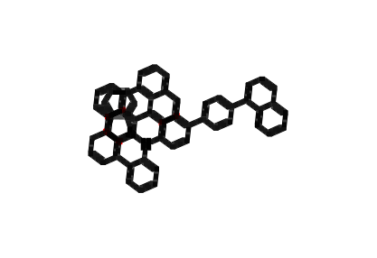 C1=CC(c2ccccc2N(c2ccc(-c3ccc(-c4cccc5ccccc45)cc3)cc2)c2ccccc2-c2cccc3cccc(-c4ccccc4)c23)=C2Sc3ccccc3C2C1